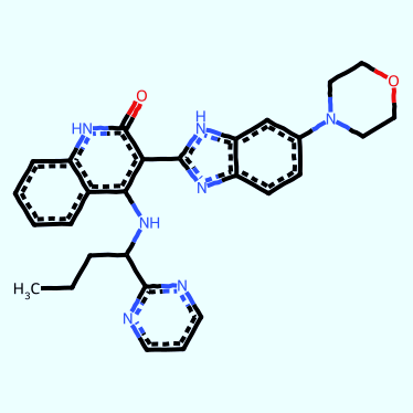 CCCC(Nc1c(-c2nc3ccc(N4CCOCC4)cc3[nH]2)c(=O)[nH]c2ccccc12)c1ncccn1